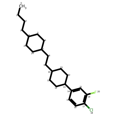 CCCCC1CCC(CCC2CCC(c3ccc(Cl)c(F)c3)CC2)CC1